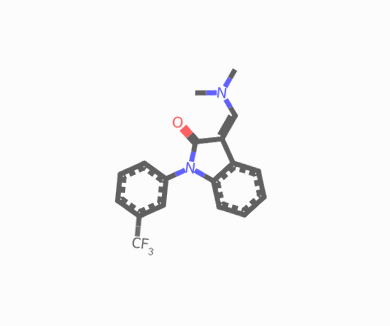 CN(C)C=C1C(=O)N(c2cccc(C(F)(F)F)c2)c2ccccc21